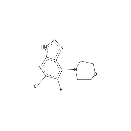 Fc1c(Cl)nc2[nH]cnc2c1N1CCOCC1